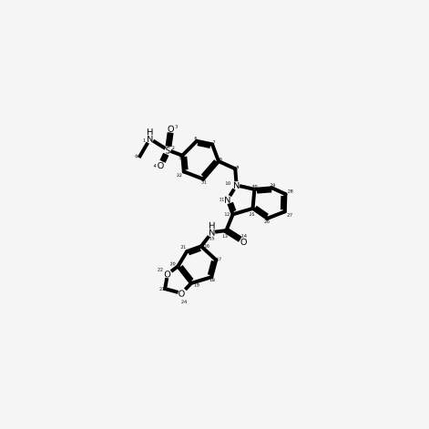 CNS(=O)(=O)c1ccc(Cn2nc(C(=O)Nc3ccc4c(c3)OCO4)c3ccccc32)cc1